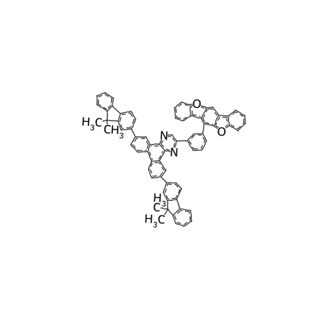 CC1(C)c2ccccc2-c2ccc(-c3ccc4c5ccc(-c6ccc7c(c6)C(C)(C)c6ccccc6-7)cc5c5nc(-c6cccc(-c7c8oc9ccccc9c8cc8oc9ccccc9c78)c6)cnc5c4c3)cc21